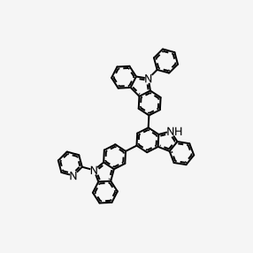 c1ccc(-n2c3ccccc3c3cc(-c4cc(-c5ccc6c(c5)c5ccccc5n6-c5ccccn5)cc5c4[nH]c4ccccc45)ccc32)cc1